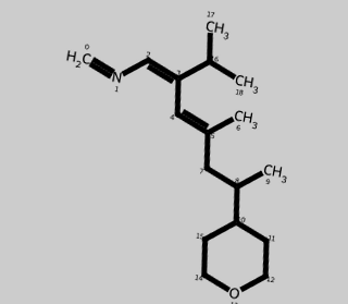 C=N/C=C(\C=C(/C)CC(C)C1CCOCC1)C(C)C